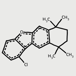 CC1(C)CCC(C)(C)c2cc3c(cc21)oc1cccc(Cl)c13